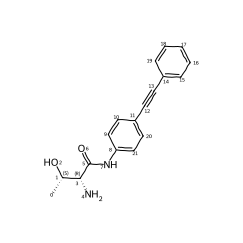 C[C@H](O)[C@@H](N)C(=O)Nc1ccc(C#Cc2ccccc2)cc1